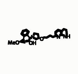 C=C(O)[C@@H](c1ccccc1[C@H]1C[C@@H]1OC)N1CC[C@@H](OCCCCc2ccc3c(n2)NCCC3)C1